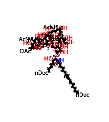 CCCCCCCCCCCCC/C=C/[C@@H](O)[C@H](CO[C@@H]1OC(CO)[C@@H](O[C@@H]2OC(CO)[C@H](O)[C@H](O[C@]3(C(=O)O)CC(O)[C@@H](NC(C)=O)C([C@H](O)[C@@H](CO)O[C@]4(C(=O)O)CC(O)[C@@H](NC(C)=O)C([C@H](O)[C@@H](CO)O[C@]5(C(=O)O)CC(O)[C@@H](NC(C)=O)C([C@H](O)[C@H](O)COC(C)=O)O5)O4)O3)C2O)[C@H](O)C1O)NC(=O)CCCCCCCCCCCCCCCCCCCCCCCCC